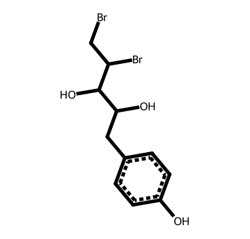 Oc1ccc(CC(O)C(O)C(Br)CBr)cc1